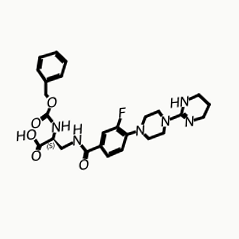 O=C(N[C@@H](CNC(=O)c1ccc(N2CCN(C3=NCCCN3)CC2)c(F)c1)C(=O)O)OCc1ccccc1